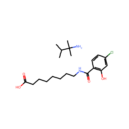 CC(C)C(C)(C)N.O=C(O)CCCCCCCNC(=O)c1ccc(Cl)cc1O